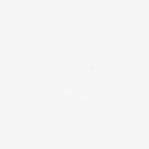 O=C(O)c1nnc(Cl)c2ccccc12